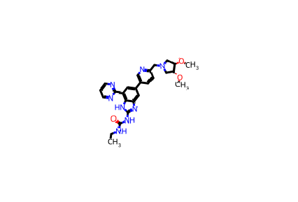 CCNC(=O)Nc1nc2cc(-c3ccc(CN4C[C@@H](OC)[C@H](OC)C4)nc3)cc(-c3ncccn3)c2[nH]1